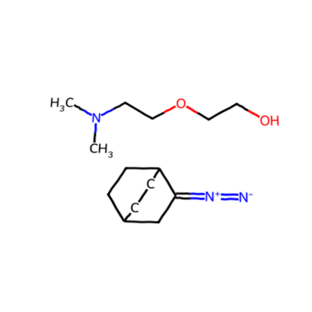 CN(C)CCOCCO.[N-]=[N+]=C1CC2CCC1CC2